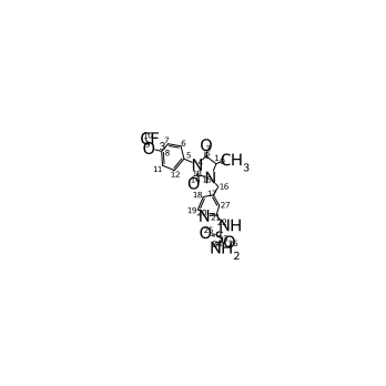 CC1C(=O)N(c2ccc(OC(F)(F)F)cc2)C(=O)N1Cc1ccnc(NS(N)(=O)=O)c1